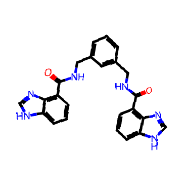 O=C(NCc1cccc(CNC(=O)c2cccc3[nH]cnc23)c1)c1cccc2[nH]cnc12